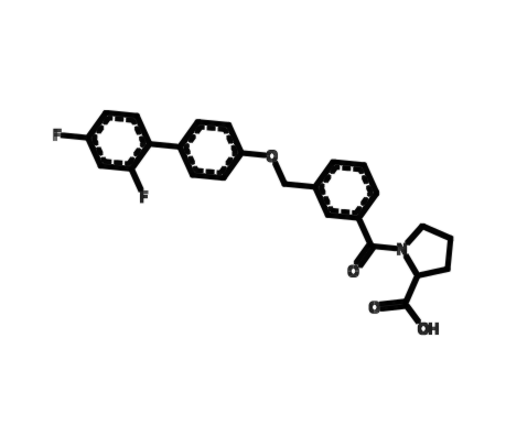 O=C(O)C1CCCN1C(=O)c1cccc(COc2ccc(-c3ccc(F)cc3F)cc2)c1